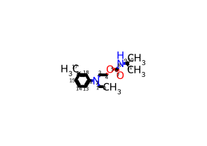 CCN(CCOC(=O)NC(C)C)c1cccc(C)c1